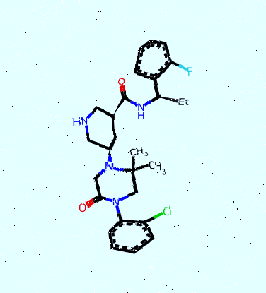 CC[C@@H](NC(=O)[C@@H]1CNC[C@H](N2CC(=O)N(c3ccccc3Cl)CC2(C)C)C1)c1ccccc1F